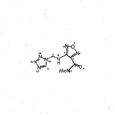 CNC(=O)c1nonc1NCn1cnnn1